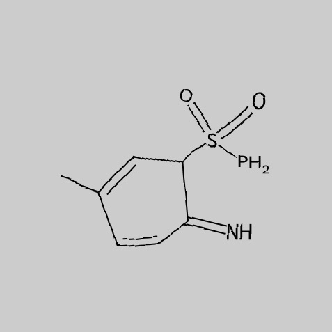 CC1=CC(S(=O)(=O)P)C(=N)C=C1